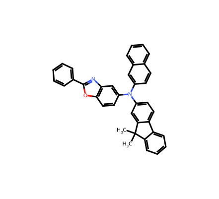 CC1(C)c2ccccc2-c2ccc(N(c3ccc4ccccc4c3)c3ccc4oc(-c5ccccc5)nc4c3)cc21